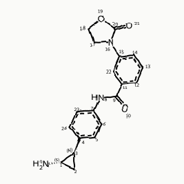 N[C@H]1C[C@@H]1c1ccc(NC(=O)c2cccc(N3CCOC3=O)c2)cc1